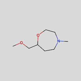 COCC1CCN(C)CCO1